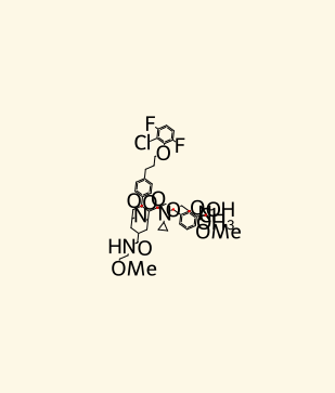 COCCNC(=O)C1CC2CC(c3ccc(CCCOc4c(F)ccc(F)c4Cl)cc3)C(C(=O)N(Cc3ccc(OC)c(C)c3)C3CC3)C(C1)N2C(=O)OCCOCCON(O)O